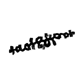 Cc1c(NC(=O)c2ccc(Cn3cc(S(=O)(=O)F)cn3)cn2)cccc1-c1cccc(NC(=O)c2ccc(Cn3cc(S(=O)(=O)F)cn3)cn2)c1C